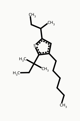 CCCCCCc1cc(C(C)CC)sc1C(C)(C)CC